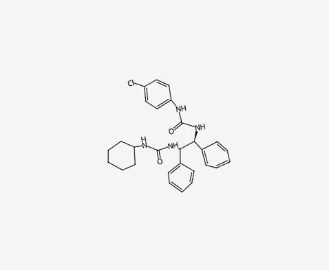 O=C(Nc1ccc(Cl)cc1)N[C@@H](c1ccccc1)[C@@H](NC(=O)NC1CCCCC1)c1ccccc1